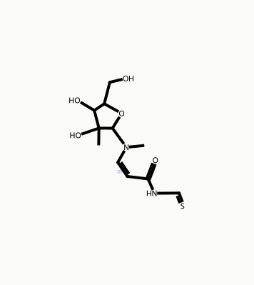 CN(/C=C\C(=O)NC=S)C1OC(CO)C(O)C1(C)O